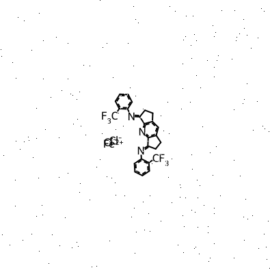 FC(F)(F)c1ccccc1N=C1CCc2cc3c(nc21)C(=Nc1ccccc1C(F)(F)F)CC3.[Cl-].[Cl-].[Fe+2]